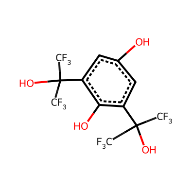 Oc1cc(C(O)(C(F)(F)F)C(F)(F)F)c(O)c(C(O)(C(F)(F)F)C(F)(F)F)c1